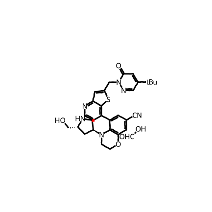 CC(C)(C)c1cnn(Cc2cc3nccc(-c4cc(C#N)cc5c4N([C@@H]4CN[C@@H](CO)C4)CCO5)c3s2)c(=O)c1.O=CO